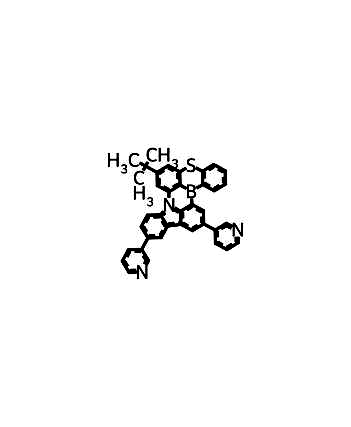 CC(C)(C)c1cc2c3c(c1)-n1c4ccc(-c5cccnc5)cc4c4cc(-c5cccnc5)cc(c41)B3c1ccccc1S2